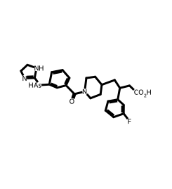 O=C(O)CC(CC1CCN(C(=O)c2cccc([AsH]C3=NCCN3)c2)CC1)c1cccc(F)c1